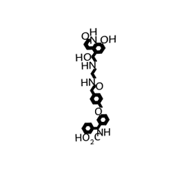 O=C(O)NC(c1ccccc1)c1cccc(OCc2ccc(CC(=O)NCCCNCC(O)c3ccc(O)c4[nH]c(=O)ccc34)cc2)c1